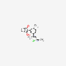 C/C=C(Cl)\C=C(/C)C1=CC=C(C)CC(C2=C(O)C3CCC(C3)C2=O)=C1